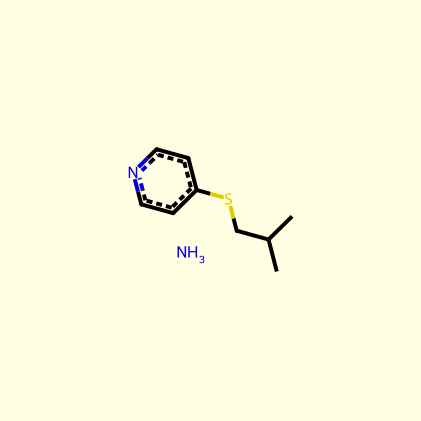 CC(C)CSc1ccncc1.N